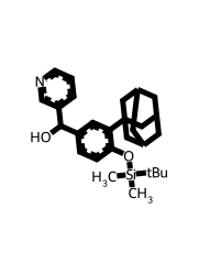 CC(C)(C)[Si](C)(C)Oc1ccc(C(O)c2cccnc2)cc1C12CC3CC(CC(C3)C1)C2